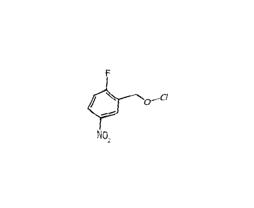 O=[N+]([O-])c1ccc(F)c(COCl)c1